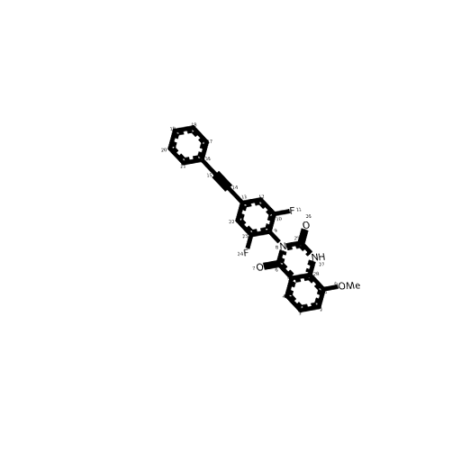 COc1cccc2c(=O)n(-c3c(F)cc(C#Cc4ccccc4)cc3F)c(=O)[nH]c12